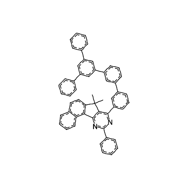 CC1(C)c2ccc3ccccc3c2-c2nc(-c3ccccc3)nc(-c3cccc(-c4cccc(-c5cc(-c6ccccc6)cc(-c6ccccc6)c5)c4)c3)c21